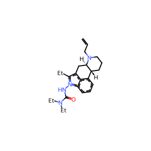 C=CCN1CCC[C@@H]2c3cccc4c3c(c(CC)n4NC(=O)N(CC)CC)C[C@H]21